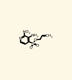 C=CCOS(=O)(=O)c1ccnc([N+](=O)[O-])c1N